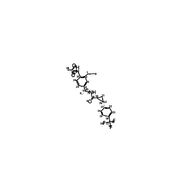 CCc1cc([C@@H](C)NC(=O)C2C[C@@H]2c2ccc(C(F)(F)F)cc2)ccc1NS(C)(=O)=O